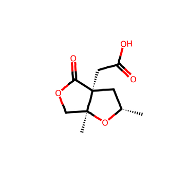 C[C@H]1C[C@]2(CC(=O)O)C(=O)OC[C@]2(C)O1